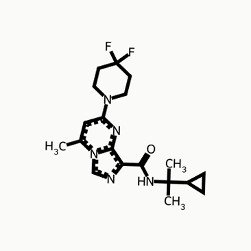 Cc1cc(N2CCC(F)(F)CC2)nc2c(C(=O)NC(C)(C)C3CC3)ncn12